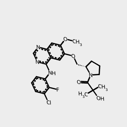 COc1cc2ncnc(Nc3cccc(Cl)c3F)c2cc1OC[C@@H]1CCCN1C(=O)C(C)(C)O